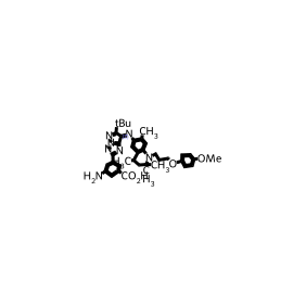 COc1ccc(OCCCN2c3cc(C)c(/N=C4/C(C(C)(C)C)=Nn5nc(-c6cc(N)cc(C(=O)O)c6)nc54)cc3C(C)CC2(C)C)cc1